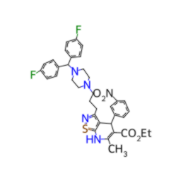 CCOC(=O)C1=C(C)Nc2snc(CCCN3CCN(C(c4ccc(F)cc4)c4ccc(F)cc4)CC3)c2C1c1cccc([N+](=O)[O-])c1